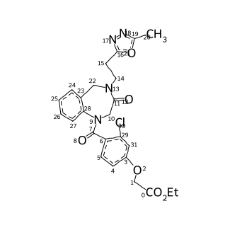 CCOC(=O)COc1ccc(C(=O)N2CC(=O)N(CCc3nnc(C)o3)Cc3ccccc32)c(Cl)c1